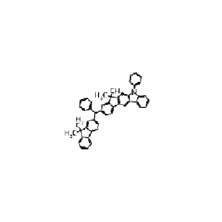 CC1(C)c2ccccc2-c2ccc(C(c3ccccc3)c3ccc4c(c3)C(C)(C)c3cc5c(cc3-4)c3ccccc3n5-c3ccccc3)cc21